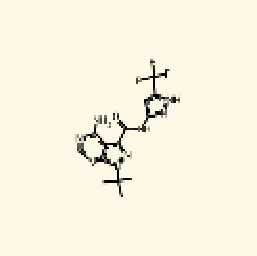 CC(C)(C)n1nc(C(=O)Nc2cc(C(F)(F)F)[nH]n2)c2c(N)ncnc21